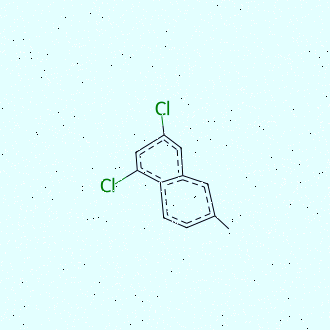 Cc1ccc2c(Cl)cc(Cl)cc2c1